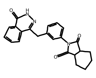 O=C1C2CCCCC2C(=O)N1c1cccc(Cc2n[nH]c(=O)c3ccccc23)c1